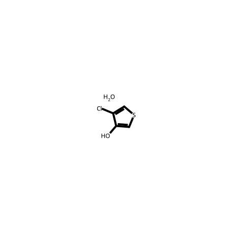 O.Oc1cscc1Cl